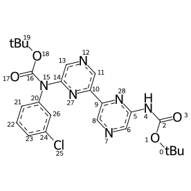 CC(C)(C)OC(=O)Nc1cncc(-c2cncc(N(C(=O)OC(C)(C)C)c3cccc(Cl)c3)n2)n1